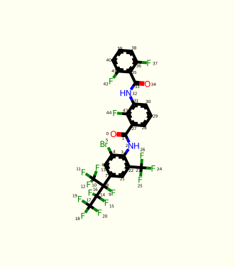 O=C(Nc1c(Br)cc(C(F)(C(F)(F)F)C(F)(F)C(F)(F)F)cc1C(F)(F)F)c1cccc(NC(=O)c2c(F)cccc2F)c1F